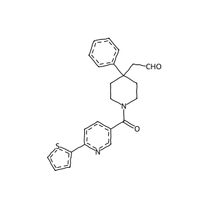 O=CCC1(c2ccccc2)CCN(C(=O)c2ccc(-c3cccs3)nc2)CC1